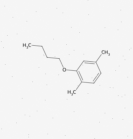 CCCCOc1cc(C)ccc1C